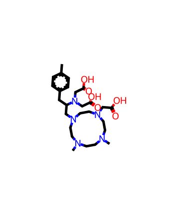 Cc1ccc(CC(CN2CCN(C)CCN(C)CCN(CC(=O)O)CC2)N(CC(=O)O)CC(=O)O)cc1